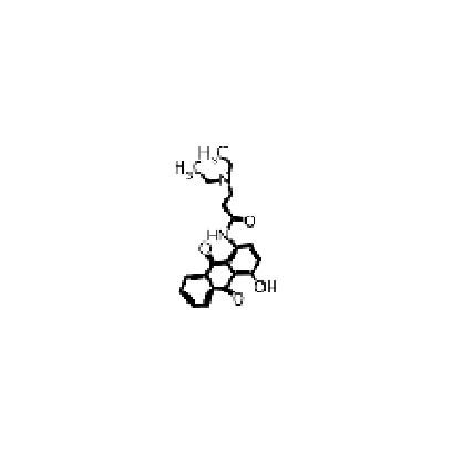 CCN(CC)CCC(=O)Nc1ccc(O)c2c1C(=O)c1ccccc1C2=O